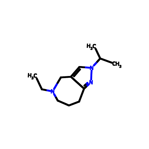 CCN1CCCc2nn(C(C)C)cc2C1